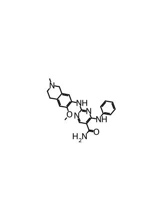 COc1cc2c(cc1Nc1ncc(C(N)=O)c(Nc3ccccc3)n1)CN(C)CC2